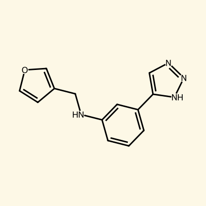 c1cc(NCc2ccoc2)cc(-c2cnn[nH]2)c1